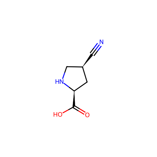 N#C[C@@H]1CN[C@H](C(=O)O)C1